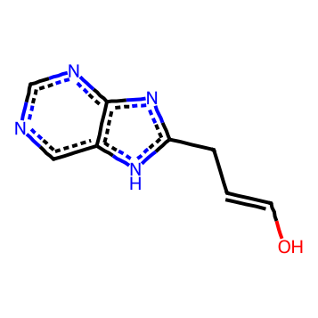 OC=CCc1nc2ncncc2[nH]1